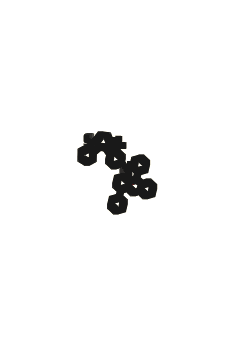 C[Si]1(C)c2cc(N(c3ccc(-c4ccccc4)cc3)c3ccccc3-c3cccc4ccccc34)ccc2-c2c1ccc1sc3ccccc3c21